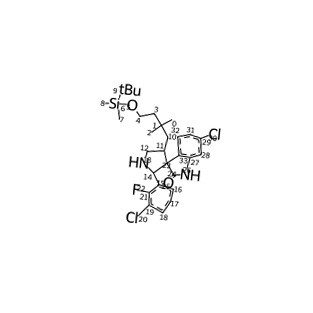 CC(C)(CCO[Si](C)(C)C(C)(C)C)CC1CNC(c2cccc(Cl)c2F)C12C(=O)Nc1cc(Cl)ccc12